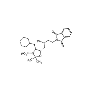 CC(C)C(CCN1C(=O)c2ccccc2C1=O)C[C@@H]1OC(C)(C)N(C(=O)O)[C@H]1CC1CCCCC1